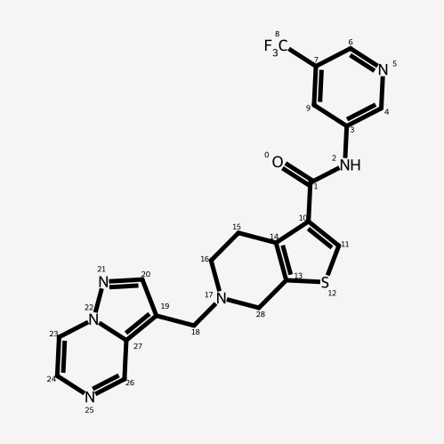 O=C(Nc1cncc(C(F)(F)F)c1)c1csc2c1CCN(Cc1cnn3ccncc13)C2